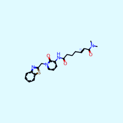 CN(C)C(=O)/C=C/CCCC(=O)Nc1cccn(Cc2nc3ccccc3s2)c1=O